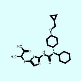 CC(Sc1cnc(NC(=O)N(C2CCCCC2)[C@H]2CC[C@H](OCC3CC3)CC2)s1)C(=O)O